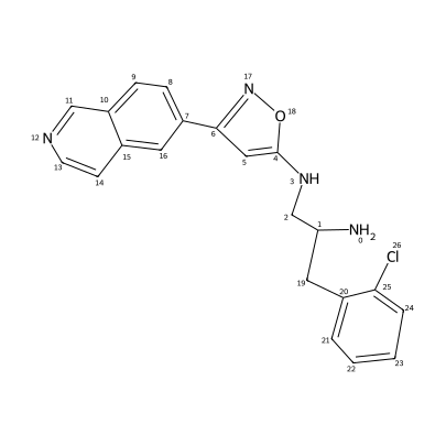 NC(CNc1cc(-c2ccc3cnccc3c2)no1)Cc1ccccc1Cl